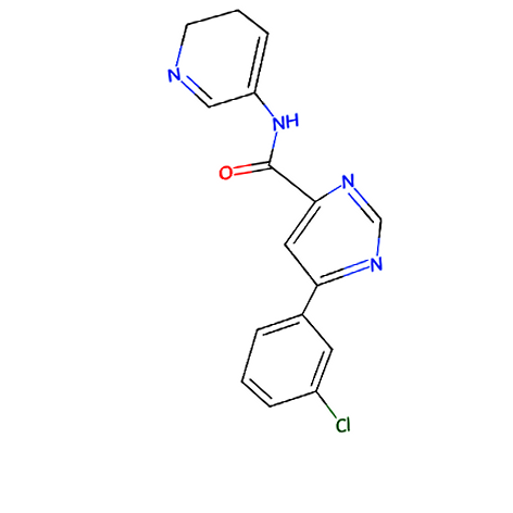 O=C(NC1=CCCN=C1)c1cc(-c2cccc(Cl)c2)ncn1